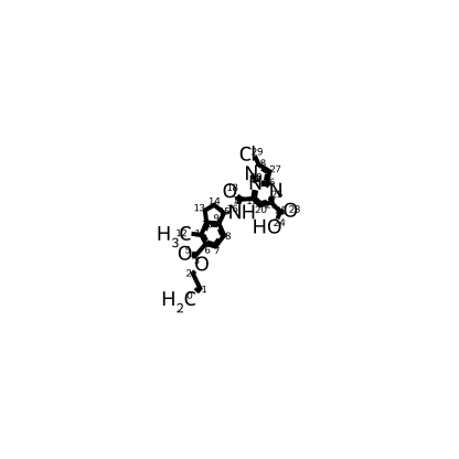 C=CCOC(=O)c1ccc2c(c1C)CC[C@@H]2NC(=O)c1cc(C(=O)O)nc2cc(Cl)nn12